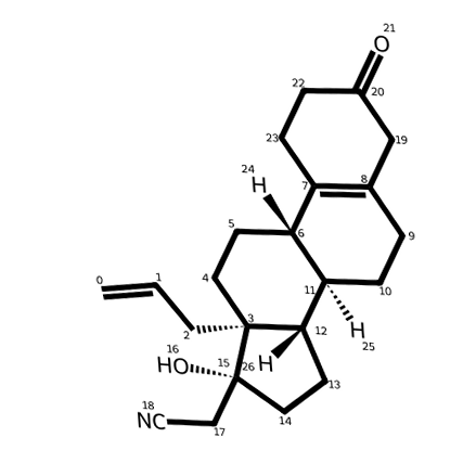 C=CC[C@]12CC[C@@H]3C4=C(CC[C@H]3[C@@H]1CC[C@@]2(O)CC#N)CC(=O)CC4